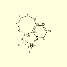 CN[C@H](C)[C@@H]1CCCCCC2=C1SCC=C2